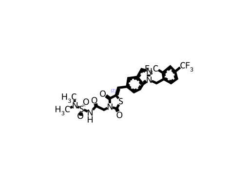 CN(C)S(=O)(=O)NC(=O)CN1C(=O)S/C(=C\c2ccc3c(cnn3Cc3ccc(C(F)(F)F)cc3C(F)(F)F)c2)C1=O